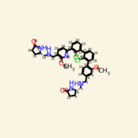 COc1cc(CNC[C@@H]2CCC(=O)N2)ccc1-c1cccc(-c2cccc(-c3ccc(CNC[C@@H]4CCC(=O)N4)c(OC)n3)c2Cl)c1Cl